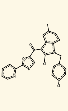 Cc1ccc2c(c1)c(C(=O)c1cnc(-c3ccccn3)o1)c(Cl)n2Cc1ccc(Cl)cc1